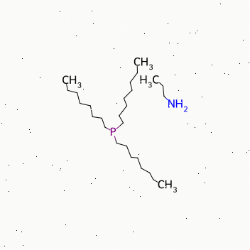 CCCCCCCCP(CCCCCCCC)CCCCCCCC.CCCN